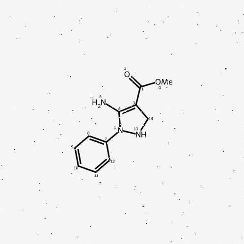 COC(=O)C1=C(N)N(c2ccccc2)NC1